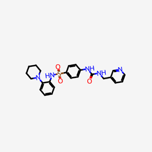 O=C(NCc1cccnc1)Nc1ccc(S(=O)(=O)Nc2ccccc2N2CCCCC2)cc1